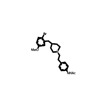 COc1ccc(Br)c(CC2CCN(CCc3ccc(NC(C)=O)cc3)CC2)c1